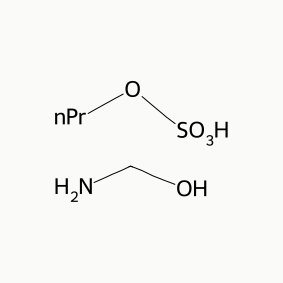 CCCOS(=O)(=O)O.NCO